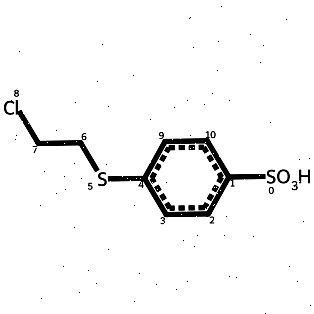 O=S(=O)(O)c1ccc(SCCCl)cc1